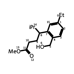 CCc1ccc(CO)c(C(CCC(=O)OC)C(C)C)c1